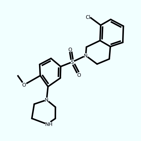 COc1ccc(S(=O)(=O)N2CCc3cccc(Cl)c3C2)cc1N1CCNCC1